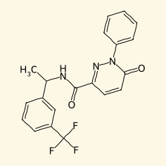 CC(NC(=O)c1ccc(=O)n(-c2ccccc2)n1)c1cccc(C(F)(F)F)c1